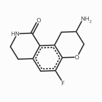 NC1COc2c(F)cc3c(c2C1)C(=O)NCC3